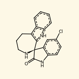 O=C1Nc2ccc(Cl)cc2[C@]12NCCCc1c2[nH]c2ccccc12